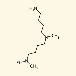 CCN(C)CCCCN(C)CCCCN